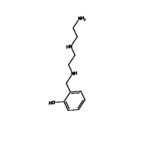 NCCNCCNCc1ccccc1O